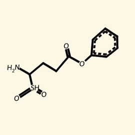 NC(CCC(=O)Oc1ccccc1)[SH](=O)=O